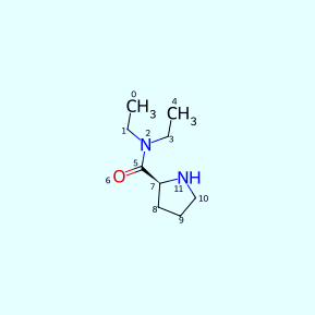 CCN(CC)C(=O)[C@@H]1CCCN1